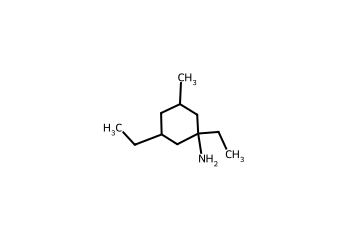 CCC1CC(C)CC(N)(CC)C1